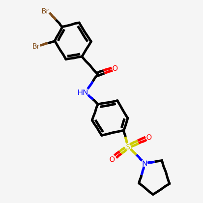 O=C(Nc1ccc(S(=O)(=O)N2CCCC2)cc1)c1ccc(Br)c(Br)c1